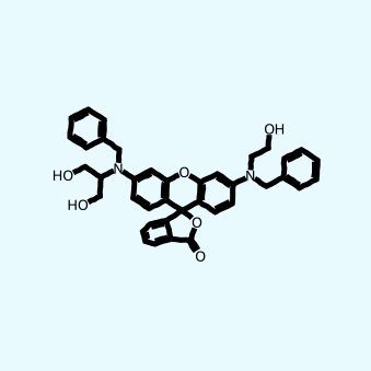 O=C1OC2(c3ccc(N(CCO)Cc4ccccc4)cc3Oc3cc(N(Cc4ccccc4)C(CO)CO)ccc32)c2ccccc21